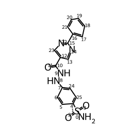 NS(=O)(=O)c1ccc(NNC(=O)c2cnc(-c3ccccc3)nc2)cc1